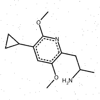 COc1cc(C2CC2)c(OC)nc1CC(C)N